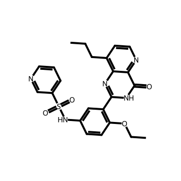 CCCc1ccnc2c(=O)[nH]c(-c3cc(NS(=O)(=O)c4cccnc4)ccc3OCC)nc12